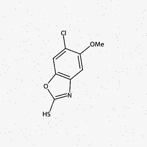 COc1cc2nc(S)oc2cc1Cl